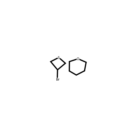 BrC1CSC1.C1CCOCC1